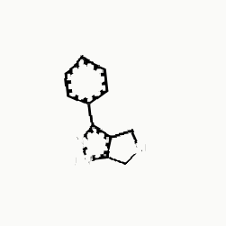 c1ccc(-c2n[nH]c3c2CNC3)cc1